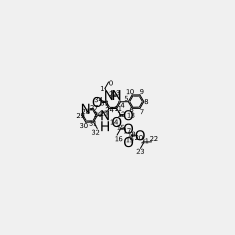 CCn1nc(-c2ccccc2)c(C(=O)OC(C)OC(=O)OC(C)C)c(Nc2cnccc2C)c1=O